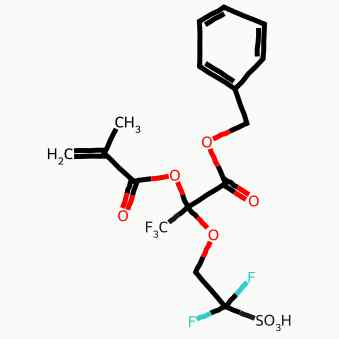 C=C(C)C(=O)OC(OCC(F)(F)S(=O)(=O)O)(C(=O)OCc1ccccc1)C(F)(F)F